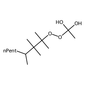 CCCCCC(C)C(C)(C)C(C)(C)OOC(C)(O)O